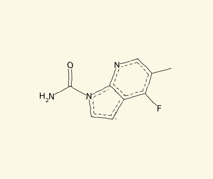 Cc1cnc2c([c]cn2C(N)=O)c1F